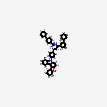 c1ccc(-c2ccc(-c3nc(-c4ccc(-n5c6ccccc6c6c7c(ccc65)oc5ccccc57)cc4)cc(-c4cccc5c4sc4ccccc45)n3)cc2)cc1